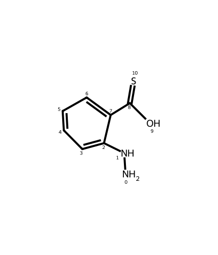 NNc1ccccc1C(O)=S